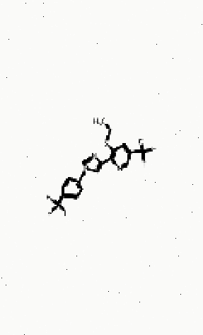 CCSc1cc(C(F)(F)F)cnc1-c1cn(-c2ccc(C(F)(F)F)cc2)cn1